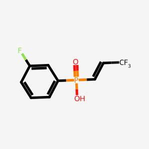 O=P(O)(C=CC(F)(F)F)c1cccc(F)c1